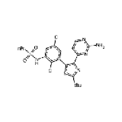 CCCS(=O)(=O)Nc1cc(Cl)cc(-c2nc(C(C)(C)C)sc2-c2ccnc(N)n2)c1Cl